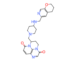 O=c1cnc2ccc(=O)n3c2n1CCC3CN1CCC(NCc2cc3c(cn2)OCCC3)CC1